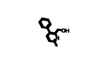 Cc1ccc(-c2ccccc2)c(CO)n1